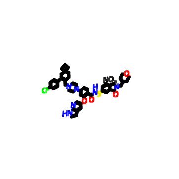 O=C(NSC1=CC2C(=O)N(CC3CCOCC3)CC2C([N+](=O)[O-])=C1)c1ccc(N2CCN(CC3=C(c4ccc(Cl)cc4)CC4(CCC4)CC3)CC2)cc1Oc1cnc2[nH]ccc2c1